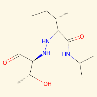 CC[C@H](C)C(NN[C@H](C=O)[C@@H](C)O)C(=O)NC(C)C